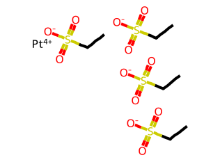 CCS(=O)(=O)[O-].CCS(=O)(=O)[O-].CCS(=O)(=O)[O-].CCS(=O)(=O)[O-].[Pt+4]